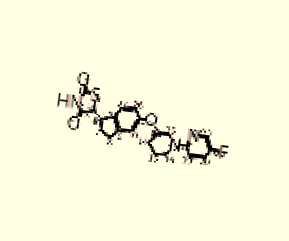 O=C1NC(=O)C([C@@H]2CCc3cc(O[C@@H]4CCCN(c5ccc(F)cn5)C4)ccc32)S1